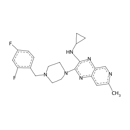 Cc1cc2nc(N3CCN(Cc4ccc(F)cc4F)CC3)c(NC3CC3)nc2cn1